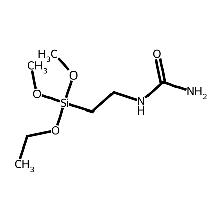 CCO[Si](CCNC(N)=O)(OC)OC